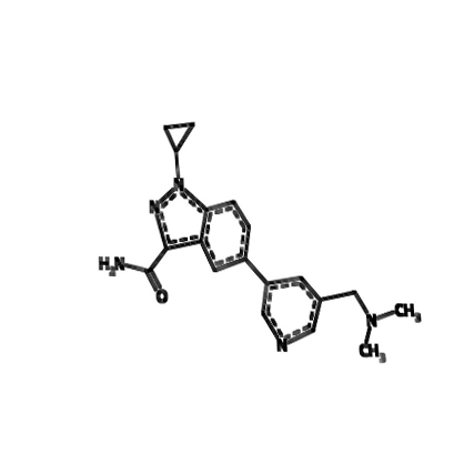 CN(C)Cc1cncc(-c2ccc3c(c2)c(C(N)=O)nn3C2CC2)c1